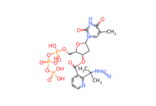 Cc1cn([C@H]2C[C@@H](OC(=O)c3cccnc3C(C)(C)N=[N+]=[N-])[C@@H](COP(=O)(O)OP(=O)(O)OP(=O)(O)O)O2)c(=O)[nH]c1=O